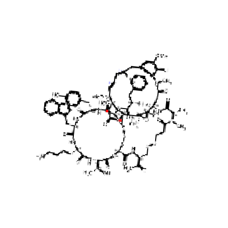 COc1cc2cc(c1Cl)N(C)C(=O)C[C@H](OC(=O)[C@H](C)N(C)C(=O)CCSSC[C@H](NC(=O)[C@@H]1CSSC[C@H](NC(=O)[C@@H](Cc3ccccc3)NC(C)=O)C(=O)N[C@@H](Cc3ccc(O)cc3)C(=O)N[C@H](Cc3c[nH]c4ccccc34)C(=O)N[C@@H](CCCCN)C(=O)N[C@@H]([C@@H](C)O)C(=O)N1)C(N)=O)[C@]1(C)O[C@H]1[C@H](C)[C@@H]1C[C@@](O)(NC(=O)O1)[C@H](OC)/C=C/C=C(\C)C2